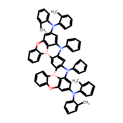 Cc1ccccc1N(c1cc2c3c(c1)N(c1ccccc1)c1cc4c(cc1B3c1ccccc1O2)B1c2ccccc2Oc2cc(N(c3ccccc3C)c3ccccc3C)cc(c21)N4c1ccccc1)c1ccccc1C